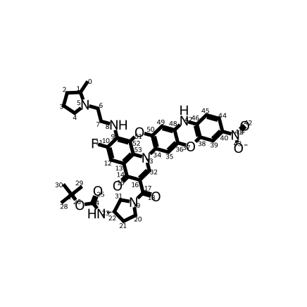 CC1CCCN1CCNc1c(F)cc2c(=O)c(C(=O)N3CC[C@H](NC(=O)OC(C)(C)C)C3)cn3c4cc5oc6cc([N+](=O)[O-])ccc6[nH]c5cc4oc1c23